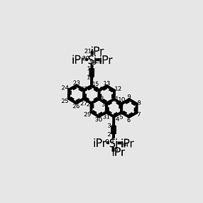 CC(C)[Si](C#Cc1c2ccccc2c2ccc3c(C#C[Si](C(C)C)(C(C)C)C(C)C)c4ccccc4c4ccc1c2c34)(C(C)C)C(C)C